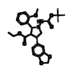 CCOC(=O)C1C(c2ccc3c(c2)OCO3)CN(NC(=O)OC(C)(C)C)C1c1ccccc1OC